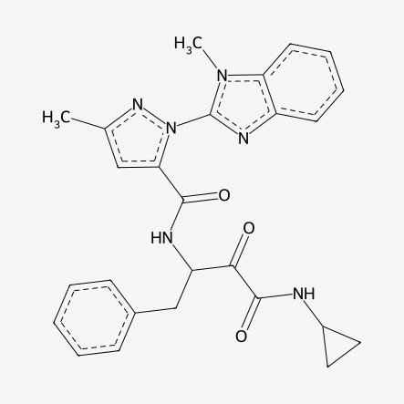 Cc1cc(C(=O)NC(Cc2ccccc2)C(=O)C(=O)NC2CC2)n(-c2nc3ccccc3n2C)n1